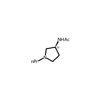 CCCN1CC[C@H](NC(C)=O)C1